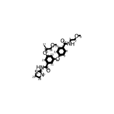 COCCNC(=O)c1ccc(Oc2cc(O[C@@H](C)COC)cc(C(=O)NC3=NCCS3)c2)cc1